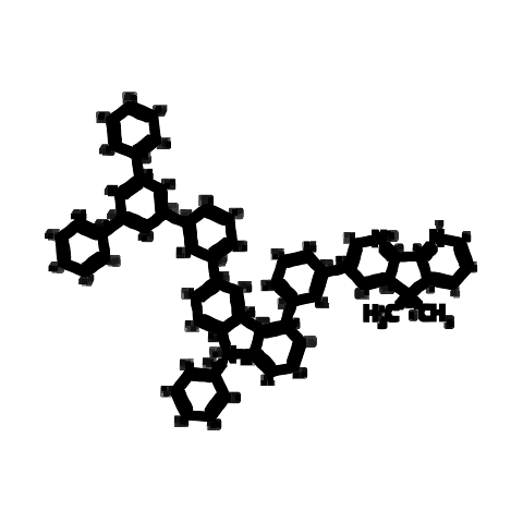 CC1(C)c2cccnc2-c2ncc(-c3cccc(-c4cccc5c4c4cc(-c6cccc(-c7cc(-c8ccccc8)cc(-c8ccccc8)c7)c6)ccc4n5-c4ccccc4)c3)cc21